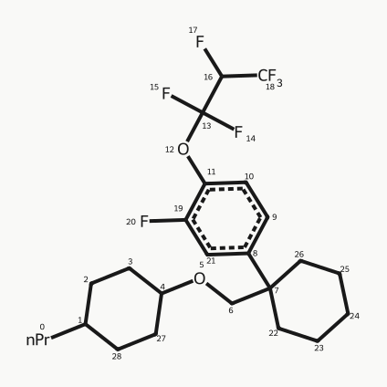 CCCC1CCC(OCC2(c3ccc(OC(F)(F)C(F)C(F)(F)F)c(F)c3)CCCCC2)CC1